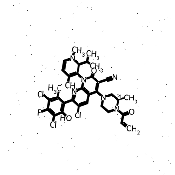 C=CC(=O)N1CCN(c2c(C#N)c(=O)n(C3=C(C)C=CN(C)C3C(C)C)c3nc(-c4c(C)c(Cl)c(F)c(Cl)c4O)c(Cl)cc23)C[C@H]1C